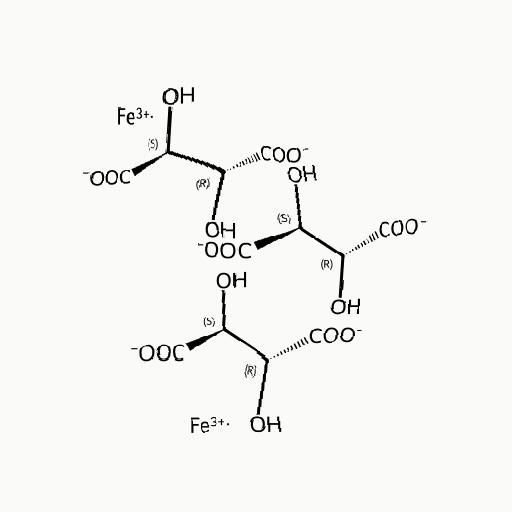 O=C([O-])[C@@H](O)[C@@H](O)C(=O)[O-].O=C([O-])[C@@H](O)[C@@H](O)C(=O)[O-].O=C([O-])[C@@H](O)[C@@H](O)C(=O)[O-].[Fe+3].[Fe+3]